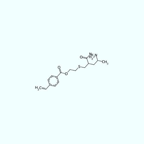 C=Cc1ccc(C(=O)OCCSCC(CC(C)N)C(N)=O)cc1